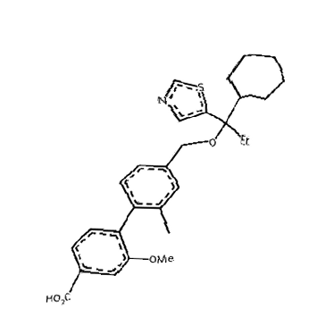 CCC(OCc1ccc(-c2ccc(C(=O)O)cc2OC)c(C)c1)(c1cncs1)C1CCCCC1